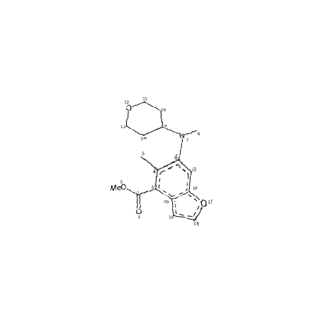 COC(=O)c1c(C)c(N(C)C2CCOCC2)cc2occc12